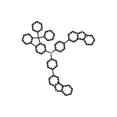 c1ccc(C2(c3ccccc3)c3ccccc3-c3ccc(N(c4ccc(-c5ccc6oc7ccccc7c6c5)cc4)c4ccc(-c5ccc6sc7ccccc7c6c5)cc4)cc32)cc1